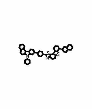 c1ccc(-n2c3cc(-c4ccc(-c5nc6ccc7sc8c(-c9ccc%10ccccc%10c9)cccc8c7c6s5)cc4)ccc3c3c4ccccc4ccc32)cc1